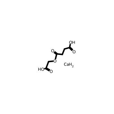 O=C(O)CCC(=O)OCC(=O)O.[CaH2]